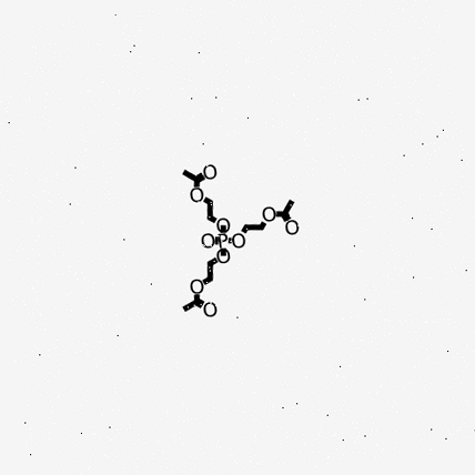 CC(=O)OCCOP(=O)(OCCOC(C)=O)OCCOC(C)=O